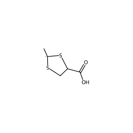 C[C]1SCC(C(=O)O)S1